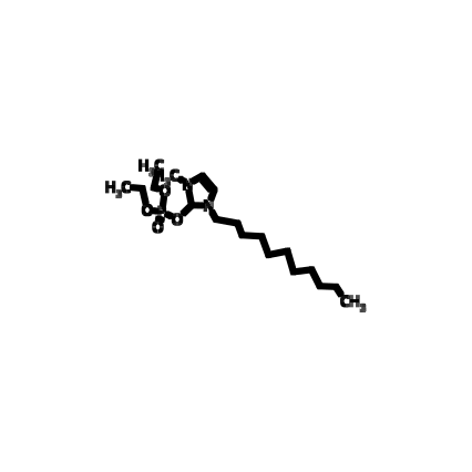 CCCCCCCCCCCN1C=CN(C)C1OP(=O)(OCC)OCC